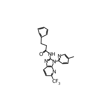 Cc1ccc(-n2c(NC(=O)CCc3ccccc3)nc3ccc(C(F)(F)F)nc32)nc1